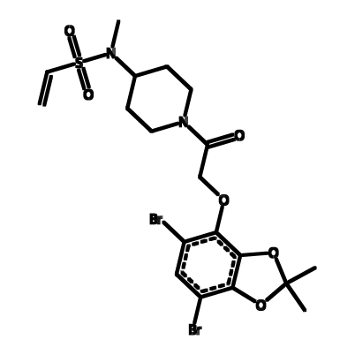 C=CS(=O)(=O)N(C)C1CCN(C(=O)COc2c(Br)cc(Br)c3c2OC(C)(C)O3)CC1